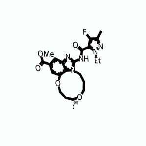 CCn1nc(C)c(F)c1C(=O)Nc1nc2cc(C(=O)OC)cc3c2n1CCCO[C@H](C)CCO3